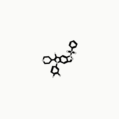 O=S(=O)(c1ccccc1)n1ncc2cc3c(cc21)c(I)c(C1CCOCC1)n3-c1ccc(F)c(F)c1